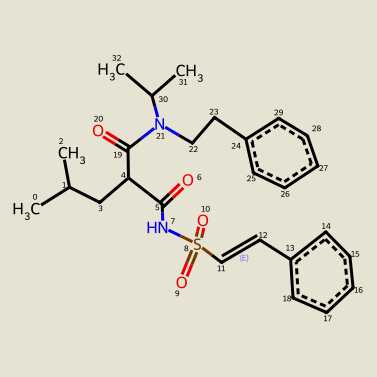 CC(C)CC(C(=O)NS(=O)(=O)/C=C/c1ccccc1)C(=O)N(CCc1ccccc1)C(C)C